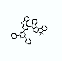 CC1(C)c2ccccc2-c2c1ccc1c2c2ccccc2n1-c1cc(-c2nc(-c3ccccc3)nc(-c3ccccc3)n2)cc2sc3ccccc3c12